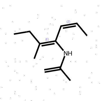 C=C(C)NC(/C=C\C)=C(\C)CC